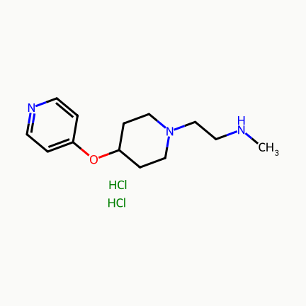 CNCCN1CCC(Oc2ccncc2)CC1.Cl.Cl